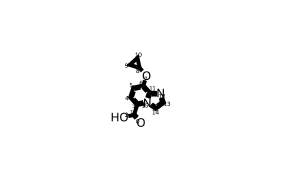 O=C(O)c1ccc(OC2CC2)c2nccn12